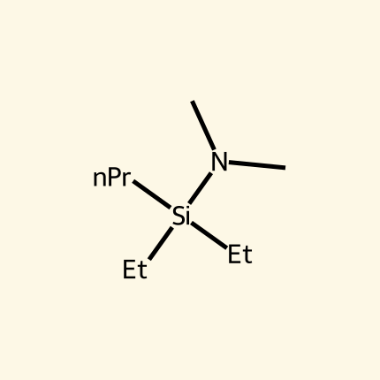 CCC[Si](CC)(CC)N(C)C